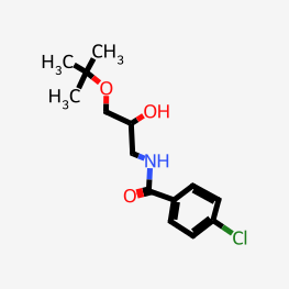 CC(C)(C)OCC(O)CNC(=O)c1ccc(Cl)cc1